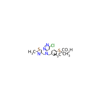 Cc1nc(CN(Cc2ccc(SC(C)(C)C(=O)O)cc2)c2cc(Cl)ncn2)cs1